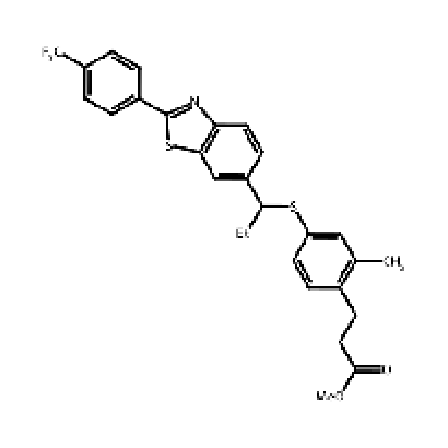 CCC(Sc1ccc(CCC(=O)OC)c(C)c1)c1ccc2nc(-c3ccc(C(F)(F)F)cc3)sc2c1